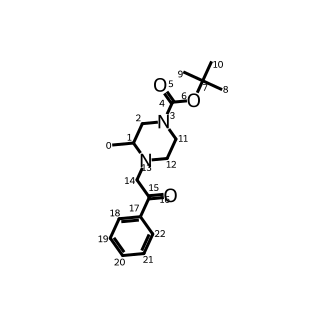 CC1CN(C(=O)OC(C)(C)C)CCN1CC(=O)c1ccccc1